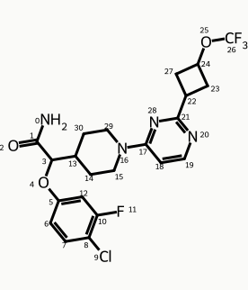 NC(=O)C(Oc1ccc(Cl)c(F)c1)C1CCN(c2ccnc(C3CC(OC(F)(F)F)C3)n2)CC1